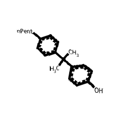 CCCCCc1ccc(C(C)(C)c2ccc(O)cc2)cc1